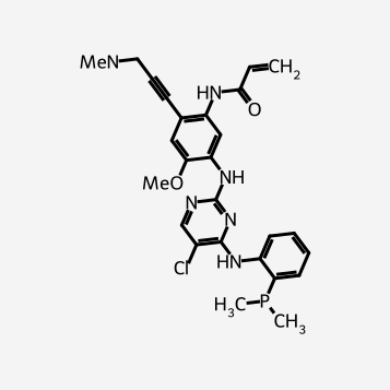 C=CC(=O)Nc1cc(Nc2ncc(Cl)c(Nc3ccccc3P(C)C)n2)c(OC)cc1C#CCNC